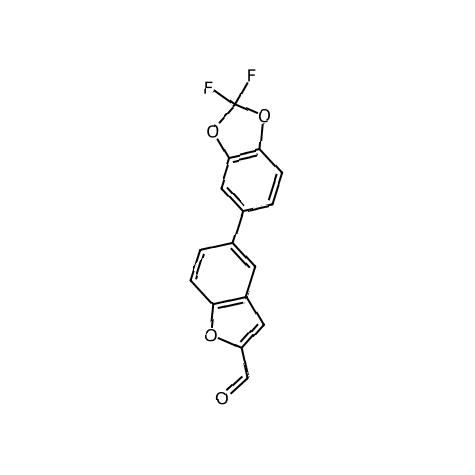 O=Cc1cc2cc(-c3ccc4c(c3)OC(F)(F)O4)ccc2o1